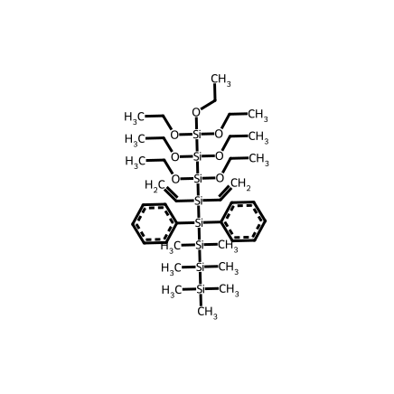 C=C[Si](C=C)([Si](OCC)(OCC)[Si](OCC)(OCC)[Si](OCC)(OCC)OCC)[Si](c1ccccc1)(c1ccccc1)[Si](C)(C)[Si](C)(C)[Si](C)(C)C